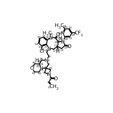 C=CC(=O)N1CC2(CN(CCN3C[C@H]4CC(=O)N(c5cc(C(F)(F)F)cc(C)n5)[C@@H]4C(=O)N(C)c4cccc(Cl)c43)C[C@@H]3COCCN32)C1